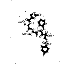 COC[C@H](NC(=O)c1cnc(C)s1)C(=O)N[C@@H](COC)C(=O)N[C@@H](Cc1ccccc1)C(=O)C(C)(O)COS(=O)(=O)c1ccc(F)cc1F